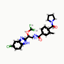 Cc1cc(C(=O)NCC(OC(F)F)c2nc3cc(Cl)ccc3[nH]2)ccc1C(=O)N1CCCC1